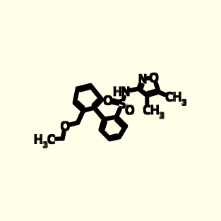 CCOCc1ccccc1-c1ccccc1S(=O)(=O)Nc1noc(C)c1C